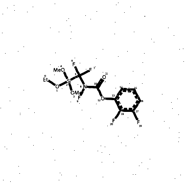 CCO[Si](OC)(OC)C(F)(F)N(F)C(=O)Oc1cccc(F)c1F